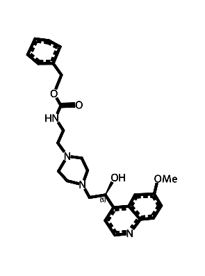 COc1ccc2nccc([C@H](O)CN3CCN(CCNC(=O)OCc4ccccc4)CC3)c2c1